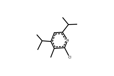 Cc1c(C(C)C)cc(C(C)C)nc1Cl